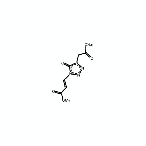 COC(=O)/C=C/n1nnn(CC(=O)OC)c1=O